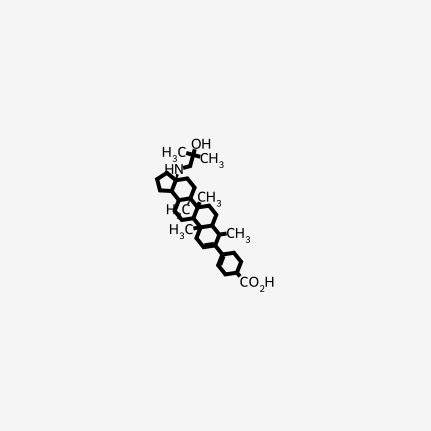 CC1C(C2=CCC(C(=O)O)CC2)=CCC2(C)C1CCC1(C)C2CCC2C3CCC[C@]3(NCC(C)(C)O)CC[C@]21C